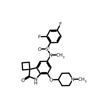 CN1CCC(Oc2cc(N(C)[S+]([O-])c3ccc(F)cc3F)cc3c2NC(=O)C32CCC2)CC1